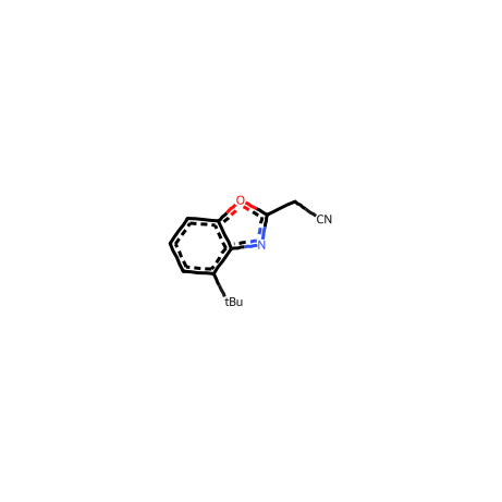 CC(C)(C)c1cccc2oc(CC#N)nc12